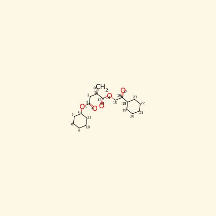 C=C(CC(=O)OC1CCCCC1)C(=O)OCC(=O)C1CCCCC1